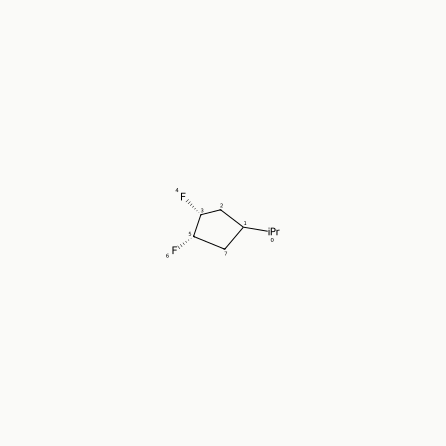 CC(C)C1C[C@@H](F)[C@@H](F)C1